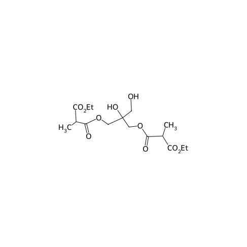 CCOC(=O)C(C)C(=O)OCC(O)(CO)COC(=O)C(C)C(=O)OCC